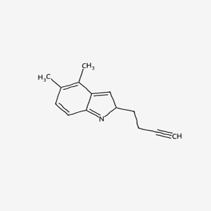 C#CCCC1C=c2c(C)c(C)ccc2=N1